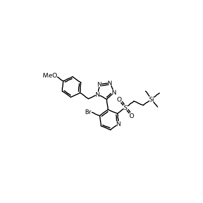 COc1ccc(Cn2nnnc2-c2c(Br)ccnc2S(=O)(=O)CC[Si](C)(C)C)cc1